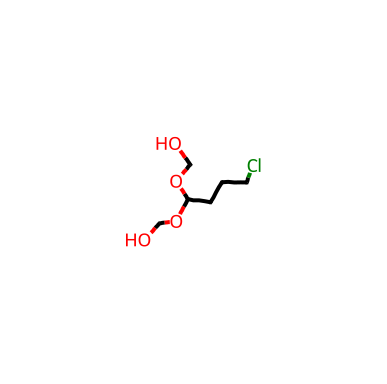 OCOC(CCCCl)OCO